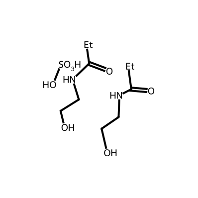 CCC(=O)NCCO.CCC(=O)NCCO.O=S(=O)(O)O